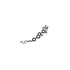 CCCCCc1ccc(-c2ccc3c(F)c(-c4cc(F)c(OC(F)(F)F)c(F)c4)ccc3c2)cc1